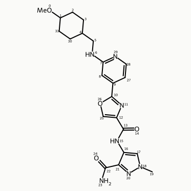 COC1CCC(CNc2cc(-c3nc(C(=O)Nc4cn(C)nc4C(N)=O)co3)ccn2)CC1